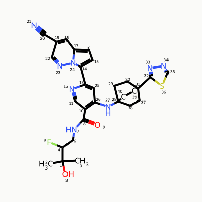 CC(C)(O)C(F)CNC(=O)c1cnc(-c2ccc3cc(C#N)cnn23)cc1NC12CCC(c3nncs3)(CC1)CC2